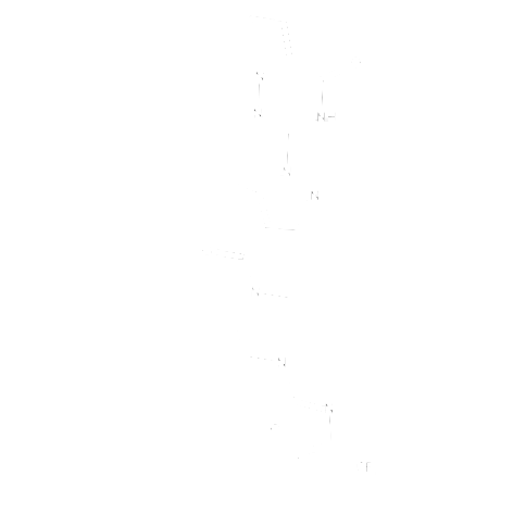 Cc1c(C(=O)N2CCN(c3nc(C(F)(F)F)co3)CC2)cnn1-c1nn2cccc2c(=O)[nH]1